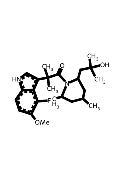 COc1ccc2[nH]cc(C(C)(C)C(=O)N3C(C)CC(C)CC3CC(C)(C)O)c2c1F